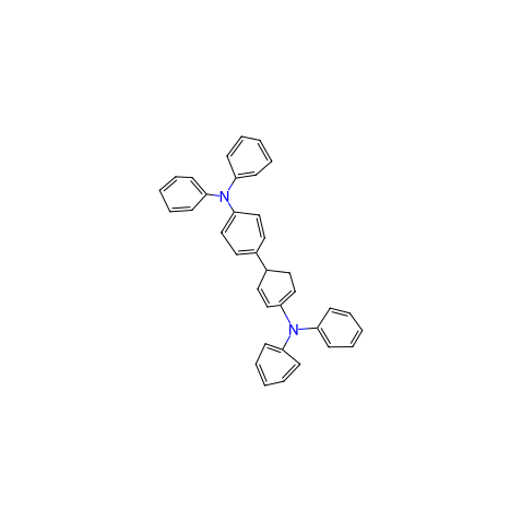 C1=CC(c2ccc(N(c3ccccc3)c3ccccc3)cc2)CC=C1N(c1ccccc1)c1ccccc1